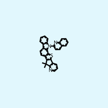 CC1(C)c2ncccc2-c2sc3c(ccc4c5ccccc5n(-c5ccc6ccccc6n5)c43)c21